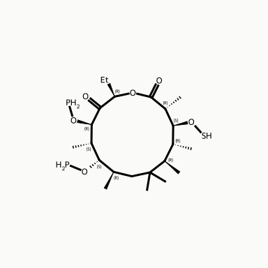 CC[C@H]1OC(=O)[C@H](C)[C@@H](OS)[C@H](C)[C@@H](C)C(C)(C)C[C@@H](C)[C@H](OP)[C@H](C)[C@@H](OP)C1=O